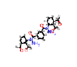 CC(=O)c1cccc(N(N)C(=O)c2cccc(C(=O)N(N)c3cccc(C(C)=O)c3C(C)=O)c2)c1C(C)=O